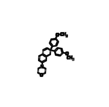 COc1ccc(C2(c3ccc(OC)cc3)C=Cc3ccc(N4CCOCC4)cc3C2)cc1